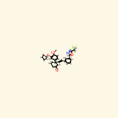 COc1ccc(C2(C#Cc3cccc(-c4nnc(C(F)(F)F)o4)c3)CCCC(=O)C2)cc1OC1CCCC1